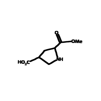 COC(=O)C1CC(C(=O)O)CN1